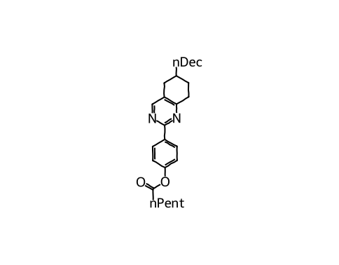 CCCCCCCCCCC1CCc2nc(-c3ccc(OC(=O)CCCCC)cc3)ncc2C1